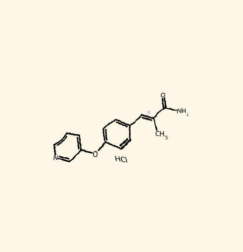 C/C(=C\c1ccc(Oc2cccnc2)cc1)C(N)=O.Cl